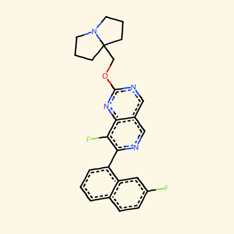 Fc1ccc2cccc(-c3ncc4cnc(OCC56CCCN5CCC6)nc4c3F)c2c1